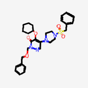 O=c1c(OC2CCCCC2)c(N2CCN(S(=O)(=O)Cc3ccccc3)CC2)cnn1COCc1ccccc1